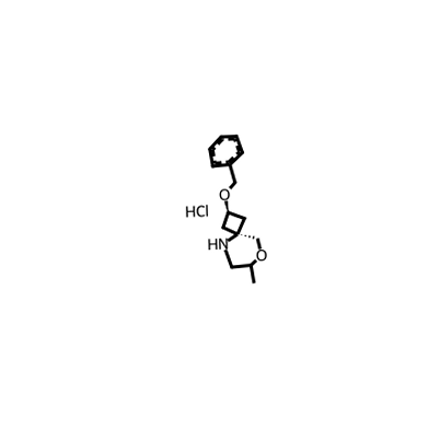 CC1CN[C@]2(CO1)C[C@H](OCc1ccccc1)C2.Cl